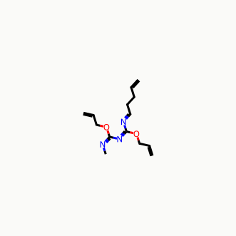 C=CCC/C=N/C(=N\C(=N/C)OCC=C)OCC=C